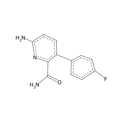 NC(=O)c1nc(N)ccc1-c1ccc(F)cc1